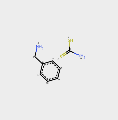 NC(=S)S.NCc1ccccc1